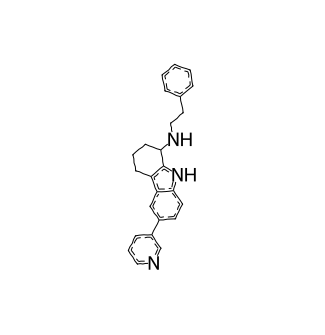 c1ccc(CCNC2CCCc3c2[nH]c2ccc(-c4cccnc4)cc32)cc1